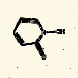 O=c1ccccn1O